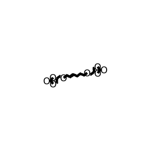 O=C1OCC(COC/C=C/CCCOCC2COC(=O)O2)O1